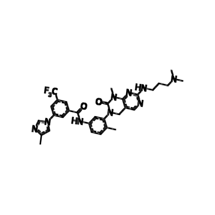 Cc1cn(-c2cc(C(=O)Nc3ccc(C)c(N4Cc5cnc(NCCCN(C)C)nc5N(C)C4=O)c3)cc(C(F)(F)F)c2)cn1